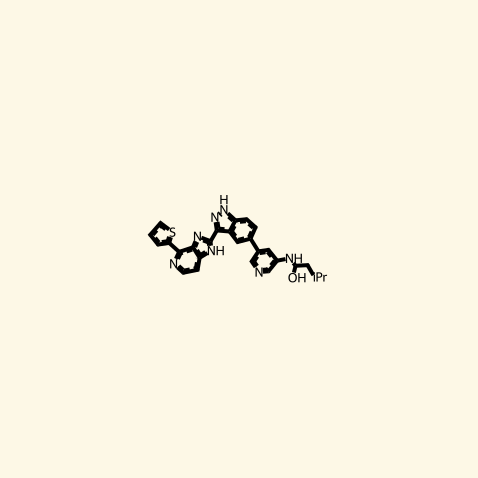 CC(C)CC(O)Nc1cncc(-c2ccc3[nH]nc(-c4nc5c(-c6cccs6)nccc5[nH]4)c3c2)c1